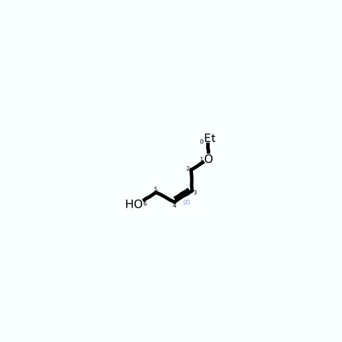 CCOC/C=C\CO